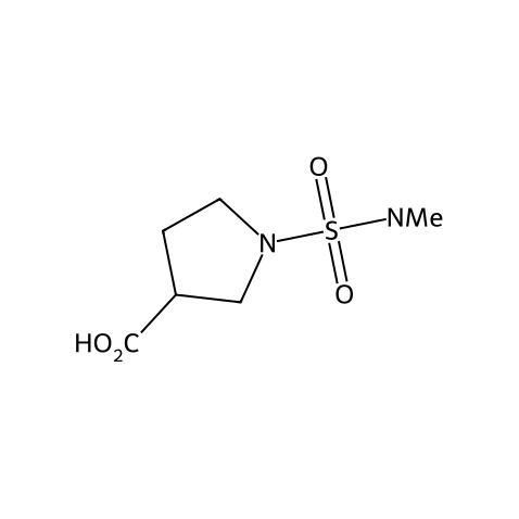 CNS(=O)(=O)N1CCC(C(=O)O)C1